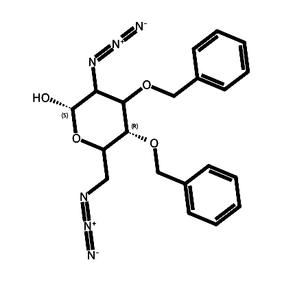 [N-]=[N+]=NCC1O[C@H](O)C(N=[N+]=[N-])C(OCc2ccccc2)[C@@H]1OCc1ccccc1